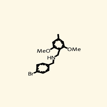 COc1cc(C)cc(OC)c1CNCc1ccc(Br)cc1